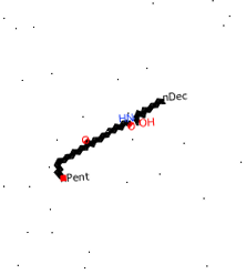 CCCCC/C=C\C/C=C\CCCCCCCC(=O)CCCCCCCCCCC(=O)NC(CO)CCCCCCCCCCCCCCCCCC